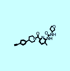 C#Cc1ccc(C2CCN(C(=O)c3ccc(C)c(NC(=O)NC4CCOC4)n3)CC2)cc1